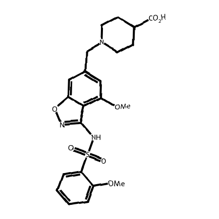 COc1ccccc1S(=O)(=O)Nc1noc2cc(CN3CCC(C(=O)O)CC3)cc(OC)c12